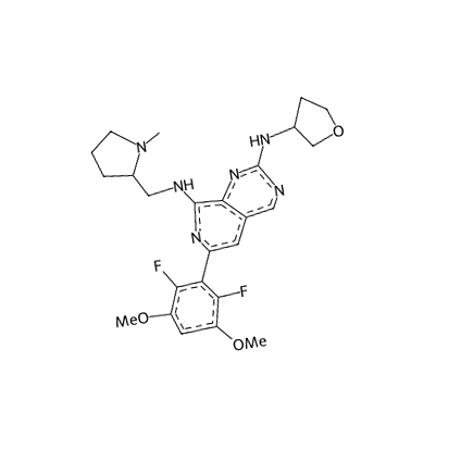 COc1cc(OC)c(F)c(-c2cc3cnc(NC4CCOC4)nc3c(NCC3CCCN3C)n2)c1F